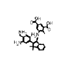 CC1=C(c2ccc(CN)c(N)c2)C(C)(C)c2ccccc21.Cc1c(N)cc(C(=O)O)cc1C(=O)O